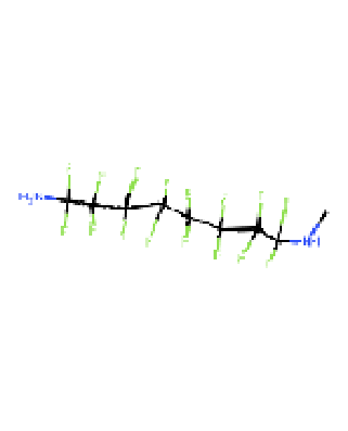 CNC(F)(F)C(F)(F)C(F)(F)C(F)(F)C(F)(F)C(F)(F)C(F)(F)C(N)(F)F